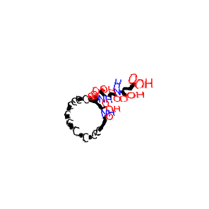 O=C(O)CC[C@H](NC(=O)CC[C@H](NC(=O)C1C[C@@H](C(=O)O)NC(=O)CCCCCCCCCCCCCCCCCCC1=O)C(=O)O)C(=O)O